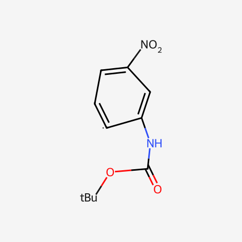 CC(C)(C)OC(=O)Nc1[c]ccc([N+](=O)[O-])c1